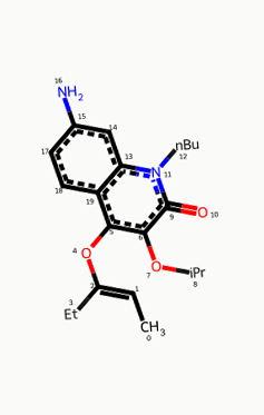 CC=C(CC)Oc1c(OC(C)C)c(=O)n(CCCC)c2cc(N)ccc12